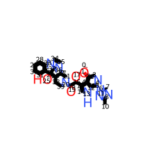 COc1cnc(-n2cnc(C)n2)c2[nH]cc(C(=O)C(=O)N3CCC(C(O)(c4ccccc4)c4nccn4C)CC3)c12